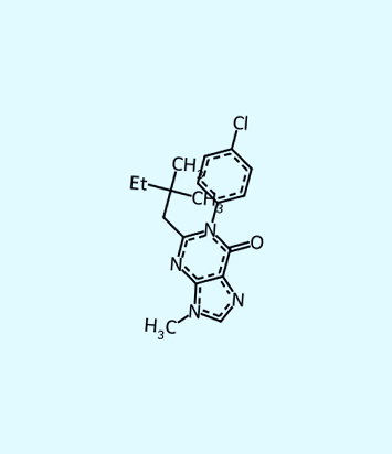 CCC(C)(C)Cc1nc2c(ncn2C)c(=O)n1-c1ccc(Cl)cc1